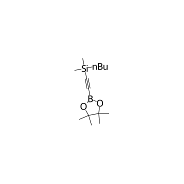 CCCC[Si](C)(C)C#CB1OC(C)(C)C(C)(C)O1